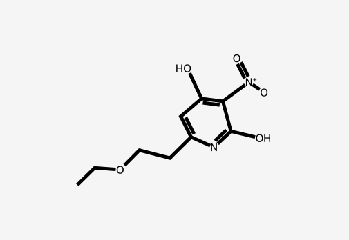 CCOCCc1cc(O)c([N+](=O)[O-])c(O)n1